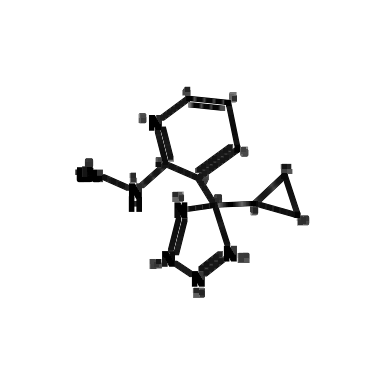 CC(C)(C)Nc1ncccc1C1(C2CC2)N=NN=N1